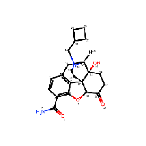 NC(=O)c1ccc2c3c1OC1C(=O)CC[C@@]4(O)[C@@H](C2)N(CC2CCC2)CC[C@]314